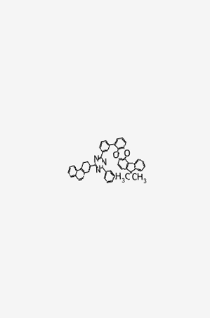 CC1(C)c2ccccc2-c2c1ccc1c2Oc2cccc(-c3cccc(-c4nc(C5=Cc6ccc7ccccc7c6CC5)nc(-c5ccccc5)n4)c3)c2O1